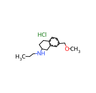 CCCNC1CCc2ccc(COC)cc2C1.Cl